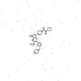 Nc1nc2[nH]cc(C3=CCN(C(=O)NC4CCCC4)CC3)c2cc1-c1ccc(CN2CCOCC2)s1